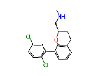 CNC[C@H]1CCc2cccc(-c3cc(Cl)ccc3Cl)c2O1